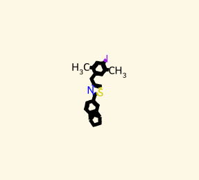 Cc1cc(Cc2csc(-c3ccc4c(c3)C3CCC4C3)n2)c(C)cc1I